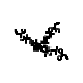 C=CC(=O)OC(C)(C)COC(C)(C)CC(CC)(CC(C)(CC)OCC(C)(C)OC(=O)C=C)CC(C)(CC)OCC(C)(C)OC(=O)C=C